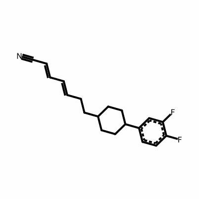 N#CC=CC=CCCC1CCC(c2ccc(F)c(F)c2)CC1